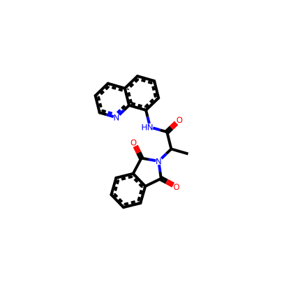 CC(C(=O)Nc1cccc2cccnc12)N1C(=O)c2ccccc2C1=O